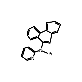 CC(C)N(c1ccccn1)c1cc2ccccc2c2ccccc12